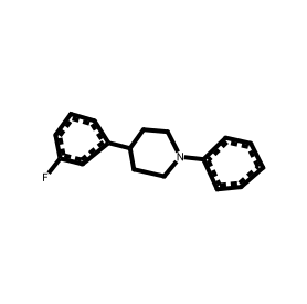 Fc1cccc(C2CCN(c3ccccc3)CC2)c1